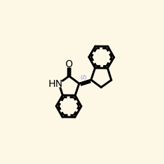 O=C1Nc2ccccc2/C1=C1\CCc2ccccc21